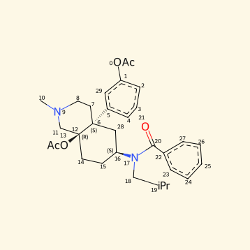 CC(=O)Oc1cccc([C@@]23CCN(C)C[C@@]2(OC(C)=O)CC[C@H](N(CC(C)C)C(=O)c2ccccc2)C3)c1